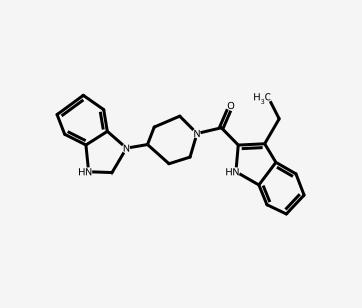 CCc1c(C(=O)N2CCC(N3[CH]Nc4ccccc43)CC2)[nH]c2ccccc12